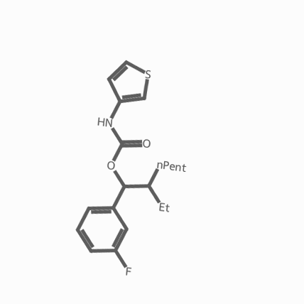 CCCCCC(CC)C(OC(=O)Nc1ccsc1)c1cccc(F)c1